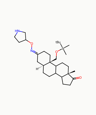 CC(C)(C)[Si](C)(C)OC[C@]12CCC(=NOC3CCNC3)C[C@@H]1CCC1C2CC[C@]2(C)C(=O)CCC12